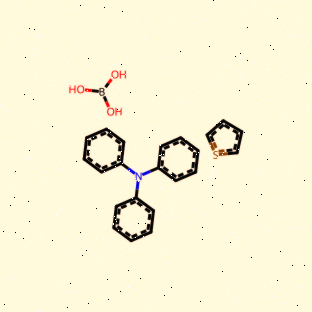 OB(O)O.c1ccc(N(c2ccccc2)c2ccccc2)cc1.c1ccsc1